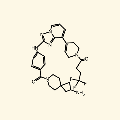 NC1CC2(CCN(C(=O)c3ccc(Nc4nc5c(C6=CCN(C(=O)CCC(F)(F)F)CC6)cccn5n4)cc3)CC2)C1